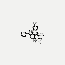 C[C@H]1C(=O)C(C#N)=C[C@@]2(C)c3c(c(-c4ccccc4)nn3-c3cccc(Br)c3)CC[C@H]12